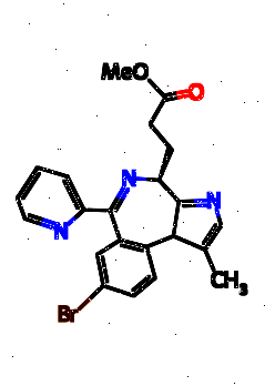 COC(=O)CC[C@@H]1N=C(c2ccccn2)c2cc(Br)ccc2C2C(C)=CN=C21